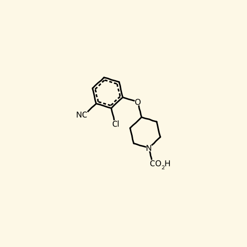 N#Cc1cccc(OC2CCN(C(=O)O)CC2)c1Cl